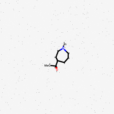 COC(=O)C1CCCN(C(C)C)CC1